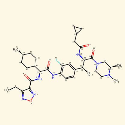 CCc1nonc1C(=O)N[C@H](C(=O)Nc1ccc([C@H](C)[C@@H](NC(=O)CC2CC2)C(=O)N2CCN(C)[C@H](C)C2)cc1F)[C@H]1CC[C@H](C)CC1